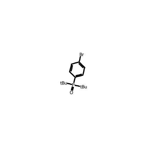 CC(C)(C)P(=O)(c1ccc(Br)cc1)C(C)(C)C